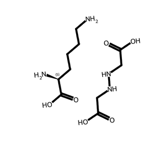 NCCCC[C@H](N)C(=O)O.O=C(O)CNNCC(=O)O